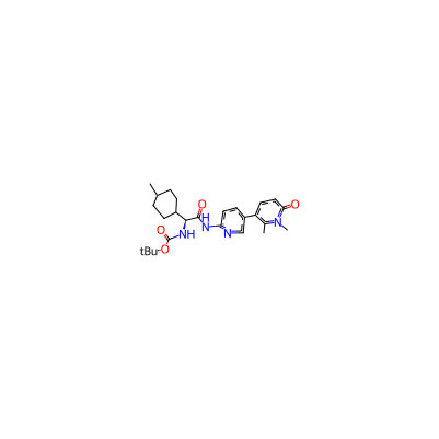 Cc1c(-c2ccc(NC(=O)[C@@H](NC(=O)OC(C)(C)C)C3CCC(C)CC3)nc2)ccc(=O)n1C